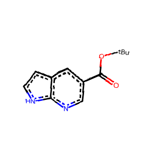 CC(C)(C)OC(=O)c1cnc2[nH]ccc2c1